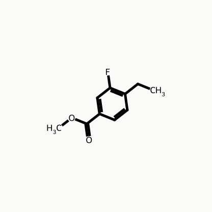 CCc1ccc(C(=O)OC)cc1F